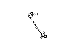 O=C(CCOCCOCCOCCOCCON1C(=O)c2ccccc2C1=O)ON1C(=O)CCC1O